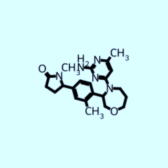 Cc1cc(N2CCCOCC2c2ccc(C3CCC(=O)N3C)cc2C)nc(N)n1